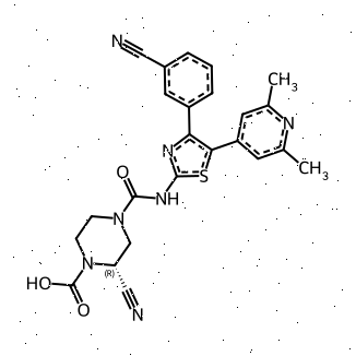 Cc1cc(-c2sc(NC(=O)N3CCN(C(=O)O)[C@@H](C#N)C3)nc2-c2cccc(C#N)c2)cc(C)n1